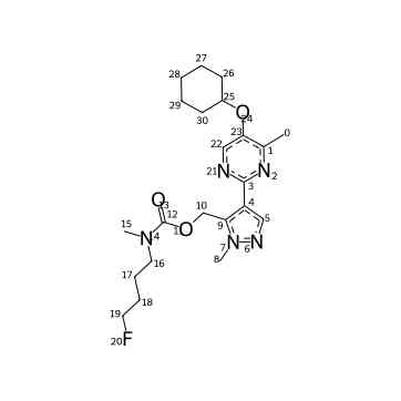 Cc1nc(-c2cnn(C)c2COC(=O)N(C)CCCCF)ncc1OC1CCCCC1